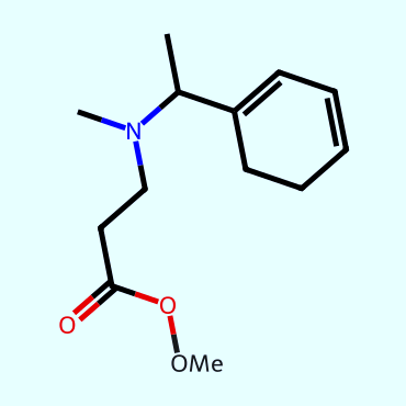 COOC(=O)CCN(C)C(C)C1=CC=CCC1